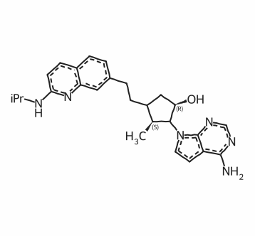 CC(C)Nc1ccc2ccc(CCC3C[C@@H](O)C(n4ccc5c(N)ncnc54)[C@H]3C)cc2n1